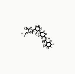 Cc1c(-c2nn(C)c(=O)o2)ccnc1-c1ccc(NC(=O)c2c(F)cccc2F)cc1